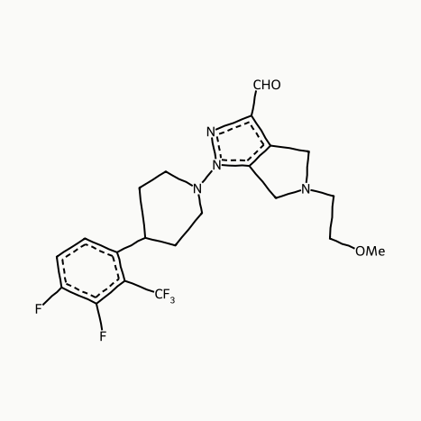 COCCN1Cc2c(C=O)nn(N3CCC(c4ccc(F)c(F)c4C(F)(F)F)CC3)c2C1